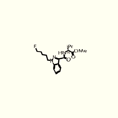 COC(=O)[C@@H](NC(=O)c1nn(CCCCCF)c2ccccc12)C(C)C